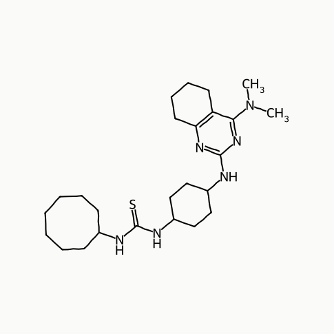 CN(C)c1nc(NC2CCC(NC(=S)NC3CCCCCCC3)CC2)nc2c1CCCC2